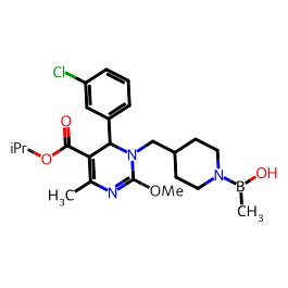 COC1=NC(C)=C(C(=O)OC(C)C)C(c2cccc(Cl)c2)N1CC1CCN(B(C)O)CC1